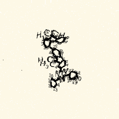 CC1(C)c2cc(-c3nc(-c4ccccc4)nc(-c4ccccc4)n3)ccc2-c2ccc(-c3cccc4c3-c3ccccc3C4(C)C)cc21